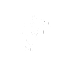 C=CC(=O)OCC(C)OC(=O)NC1CC(C)(C)CC(C)(CC)C1